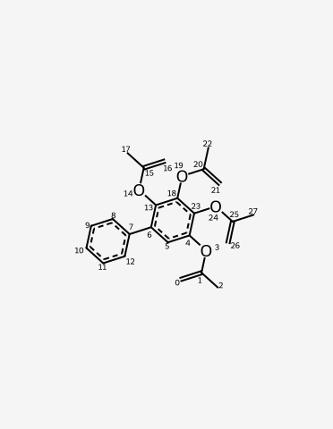 C=C(C)Oc1cc(-c2ccccc2)c(OC(=C)C)c(OC(=C)C)c1OC(=C)C